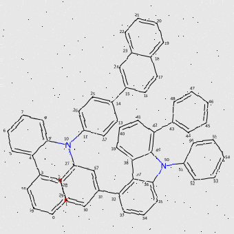 c1ccc(-c2ccccc2N(c2ccc(-c3ccc4ccccc4c3)cc2)c2cccc(-c3cccc4c3c3cccc(-c5ccccc5)c3n4-c3ccccc3)c2)cc1